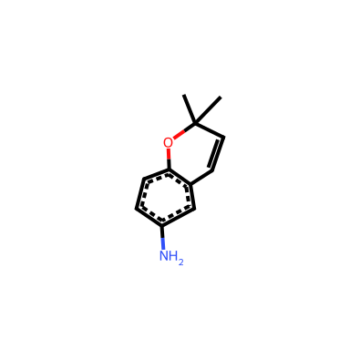 CC1(C)C=Cc2cc(N)ccc2O1